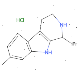 Cc1ccc2c3c([nH]c2c1)C(C(C)C)NCC3.Cl